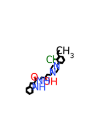 CCc1cccc(N2CCN(CCC(O)CNC(=O)c3cc4ccccc4[nH]3)CC2)c1Cl